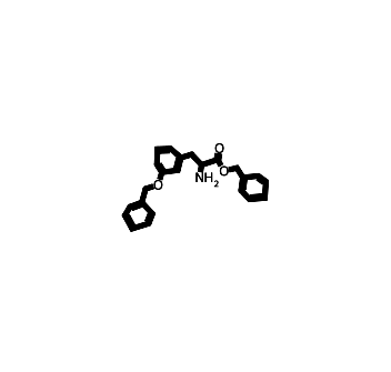 NC(Cc1cccc(OCc2ccccc2)c1)C(=O)OCc1ccccc1